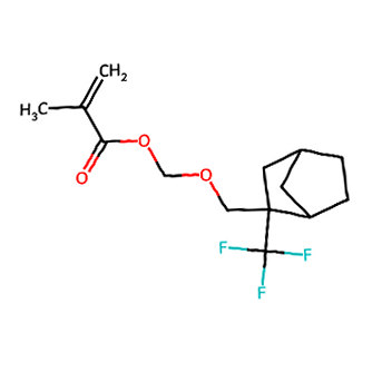 C=C(C)C(=O)OCOCC1(C(F)(F)F)CC2CCC1C2